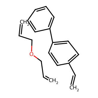 C=CCOCC=C.C=Cc1ccc(-c2ccccc2)cc1